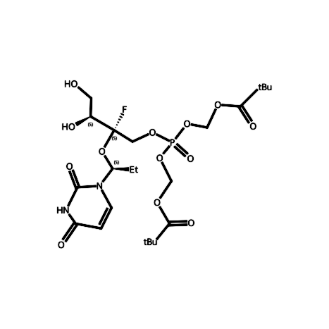 CC[C@H](O[C@](F)(COP(=O)(OCOC(=O)C(C)(C)C)OCOC(=O)C(C)(C)C)[C@@H](O)CO)n1ccc(=O)[nH]c1=O